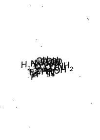 CN(C)[C@@H]1C(O)=C(C(N)=O)C(=O)[C@@]2(O)C(O)=C3C(=O)c4c(O)c(N)cc(C(F)=C(F)F)c4C[C@H]3C[C@@H]12